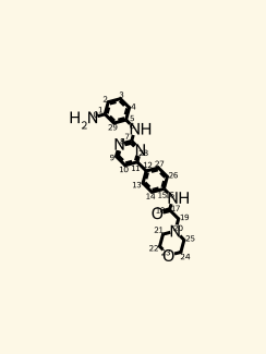 Nc1cccc(Nc2nccc(-c3ccc(NC(=O)CN4CCOCC4)cc3)n2)c1